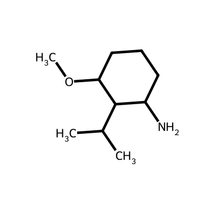 COC1CCCC(N)C1C(C)C